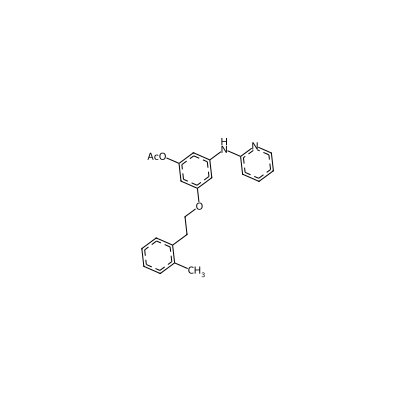 CC(=O)Oc1cc(Nc2ccccn2)cc(OCCc2ccccc2C)c1